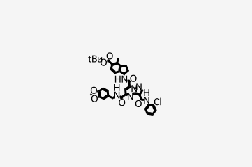 Cc1c(C(=O)OC(C)(C)C)ccc2c1CC[C@@H]2NC(=O)c1cc(C(=O)NCc2ccc3c(c2)OCO3)nc2c(C(=O)Nc3ccccc3Cl)cnn12